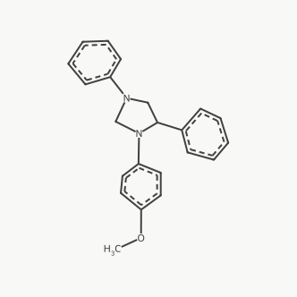 COc1ccc(N2CN(c3ccccc3)CC2c2ccccc2)cc1